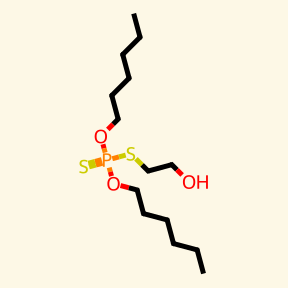 CCCCCCOP(=S)(OCCCCCC)SCCO